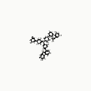 C1=CC(c2cccc3c2C2CC2c2ccccc2-3)CC=C1N(c1ccc(-c2ccccc2)cc1)c1ccc(-c2cccc3c2Cc2ccccc2-3)cc1